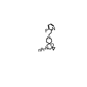 CCCN1CC2(CCN(CCc3ncccc3F)CC2)OC2(CC2)C1